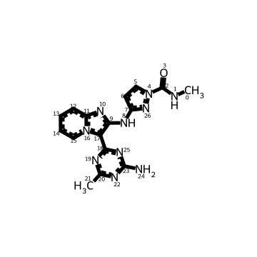 CNC(=O)n1ccc(Nc2nc3ccccn3c2-c2nc(C)nc(N)n2)n1